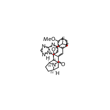 COc1cccc2c1OCC(C(=O)N1[C@H]3CC[C@H](c4cc(C(F)F)nc5ncnn45)[C@@H]1CC3)=C2